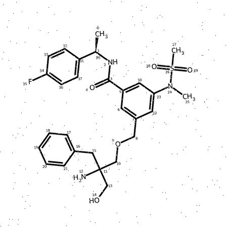 C[C@@H](NC(=O)c1cc(COCC(N)(CO)Cc2ccccc2)cc(N(C)S(C)(=O)=O)c1)c1ccc(F)cc1